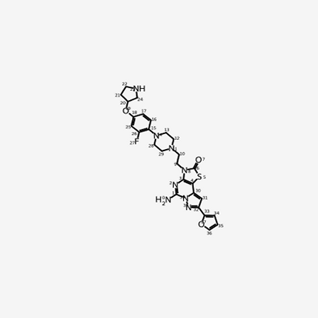 Nc1nc2c(sc(=O)n2CCN2CCN(c3ccc(OC4CCNC4)cc3F)CC2)c2cc(-c3ccco3)nn12